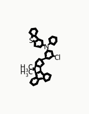 CC1(C)c2ccc(-c3cc(Cl)cc(N(c4ccccc4)c4ccc5sc6ccccc6c5c4)c3)cc2-c2c1c1ccccc1c1ccccc21